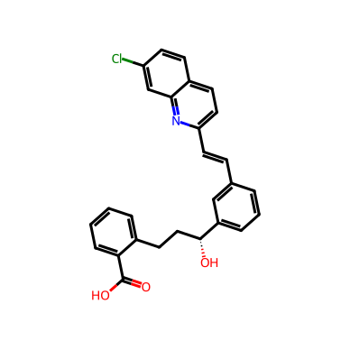 O=C(O)c1ccccc1CC[C@@H](O)c1cccc(/C=C/c2ccc3ccc(Cl)cc3n2)c1